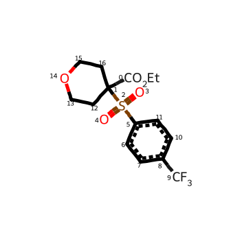 CCOC(=O)C1(S(=O)(=O)c2ccc(C(F)(F)F)cc2)CCOCC1